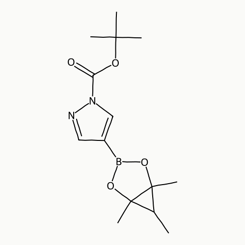 CC1C2(C)OB(c3cnn(C(=O)OC(C)(C)C)c3)OC12C